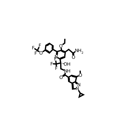 CCOc1c(CC(N)=O)cc([C@@](O)(CNC(=O)c2cc(OC)c3nn(C4CC4)cc3c2)C(F)(F)F)nc1-c1cccc(OC(F)(F)F)c1